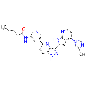 CCCCC(=O)Nc1cncc(-c2ccc3[nH]nc(-c4cc5c(-n6cnc(C)c6)ccnc5[nH]4)c3n2)c1